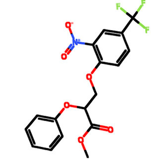 COC(=O)C(COc1ccc(C(F)(F)F)cc1[N+](=O)[O-])Oc1ccccc1